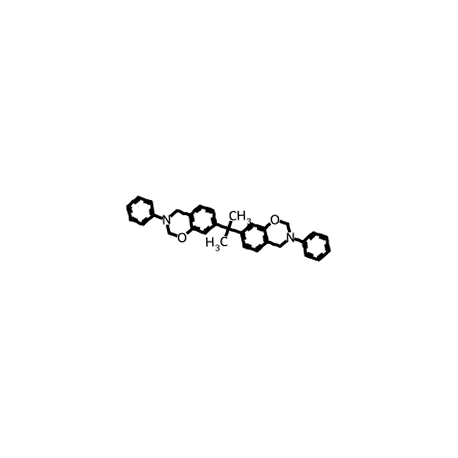 CC(C)(c1ccc2c(c1)OCN(c1ccccc1)C2)c1ccc2c(c1)OCN(c1ccccc1)C2